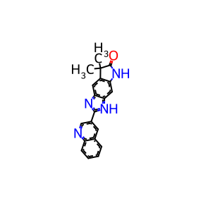 CC1(C)C(=O)Nc2cc3[nH]c(-c4cnc5ccccc5c4)nc3cc21